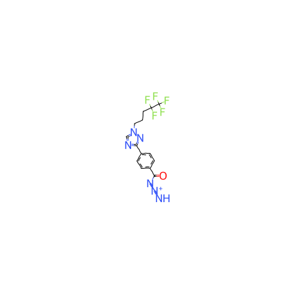 N=[N+]=NC(=O)c1ccc(-c2ncn(CCCC(F)(F)C(F)(F)F)n2)cc1